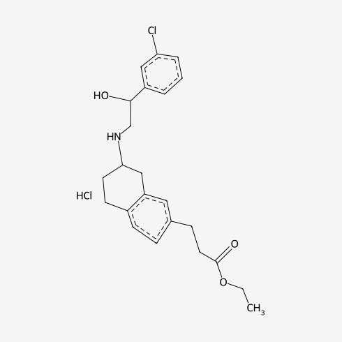 CCOC(=O)CCc1ccc2c(c1)CC(NCC(O)c1cccc(Cl)c1)CC2.Cl